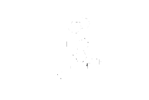 CCc1c(F)ccc2cccc(-c3ncc4c(OC(F)(F)F)nc(OC[C@@]56CCCN5C[C@H](F)C6)nc4c3F)c12